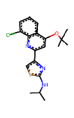 CC(C)Nc1nc(-c2cc(OC(C)(C)C)c3cccc(Cl)c3n2)cs1